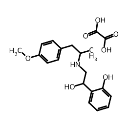 COc1ccc(CC(C)NCC(O)c2ccccc2O)cc1.O=C(O)C(=O)O